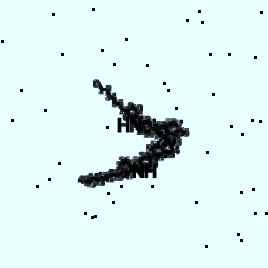 CCCCCCCCc1cccc(Nc2ccc(-c3cc(-c4c(C)ccc5cc(-c6ccc(Nc7cccc(CCCCCCCC)c7)cc6)ccc45)c4cc(C)ccc4c3)cc2)c1